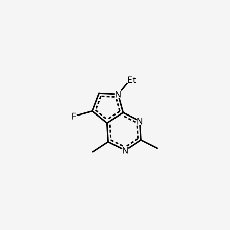 CCn1cc(F)c2c(C)nc(C)nc21